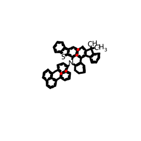 CC1(C)c2ccccc2-c2c(C3=C(N(c4ccc(-c5cccc6cccc(-c7ccccc7)c56)cc4)c4cccc5c4sc4ccccc45)CCC=C3)cccc21